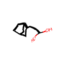 OC(O)CC1CC2C=CC1C2